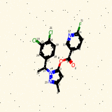 Cc1cc(OC(=O)c2ccc(F)nc2)n(C(C)c2ccc(Cl)c(Cl)c2)n1